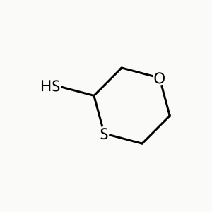 SC1COCCS1